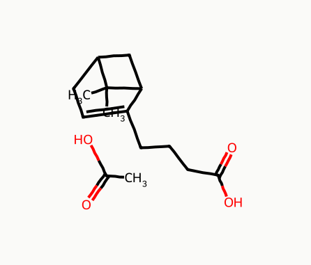 CC(=O)O.CC1(C)C2CC=C(CCCC(=O)O)C1C2